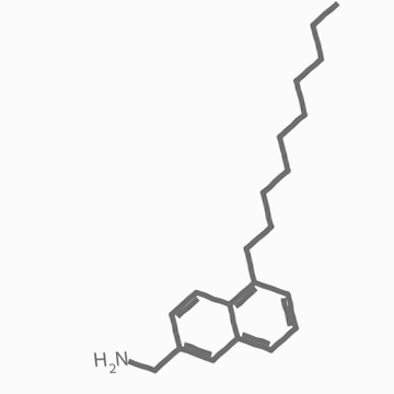 CCCCCCCCCCc1cccc2cc(CN)ccc12